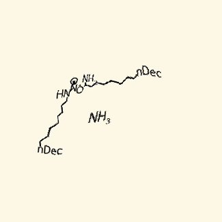 CCCCCCCCCCCCCCCCCCN[N+](=O)OC(N)CCCCCCCCCCCCCCCCC.N